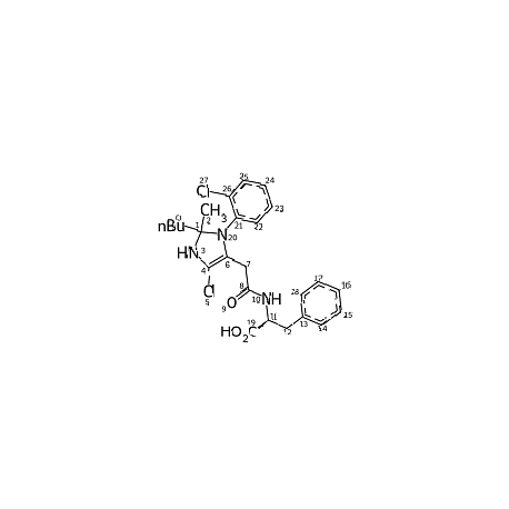 CCCCC1(C)NC(Cl)=C(CC(=O)N[C@@H](Cc2ccccc2)C(=O)O)N1c1ccccc1Cl